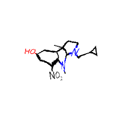 CN1c2c([N+](=O)[O-])cc(O)cc2[C@]2(C)CCN(CC3CC3)C12